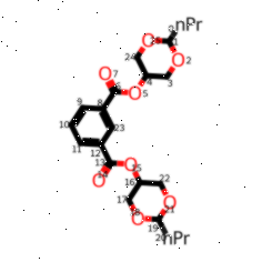 CCCC1OCC(OC(=O)c2cccc(C(=O)OC3COC(CCC)OC3)c2)CO1